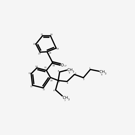 CCCCCC(CC)(CC)c1ccccc1C(=O)c1ccccc1